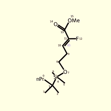 CCCC(C)(C)[Si](C)(C)OCC/C=C(\F)C(=O)OC